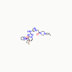 CN1CCN(C(=O)Cn2cc(Nc3nc4c(N5CC6CCC(C5)N6C(=O)C5CSC5)cccn4n3)cn2)CC1